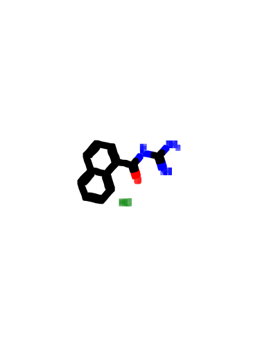 Cl.N=C(N)NC(=O)c1cccc2ccccc12